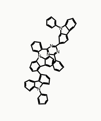 c1ccc(-c2nc(-c3ccc4c5ccccc5n(-c5ccccc5)c4c3)nc(-c3ccccc3-n3c4ccccc4c4c(-c5cccc6c5c5ccccc5n6-c5ccccc5)cccc43)n2)cc1